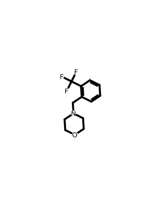 FC(F)(F)c1[c]cccc1CN1CCOCC1